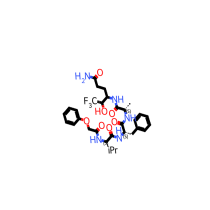 CC(C)[C@H](NC(=O)COc1ccccc1)C(=O)N[C@@H](Cc1ccccc1)C(=O)N[C@@H](C)C(=O)NC(CCC(N)=O)C(O)C(F)(F)F